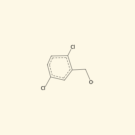 [O]Cc1cc(Cl)ccc1Cl